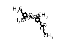 C/C=C/c1ccc(OC(=O)COc2ccc(C=CC(=O)OCCCC)cc2OC)c(OC)c1